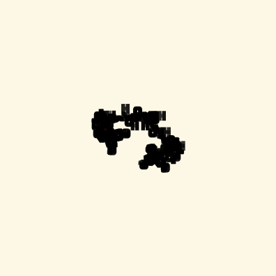 COc1ccc(C(OC[C@H]2O[C@@H](OCCCNC(=O)CNC(=O)OCC(CO)OC(=O)NCC(=O)NCCCO[C@@H]3O[C@H](COC(c4ccccc4)(c4ccc(OC)cc4)c4ccc(OC)cc4)[C@H](OC(C)=O)[C@H](OC(C)=O)[C@H]3NC(C)=O)[C@H](NC(C)=O)[C@@H](OC(C)=O)[C@H]2OC(C)=O)(c2ccccc2)c2ccc(OC)cc2)cc1